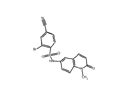 Cn1c(=O)ccc2cc(NS(=O)(=O)c3ccc(C#N)cc3Br)ccc21